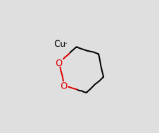 C1CCOOC1.[Cu]